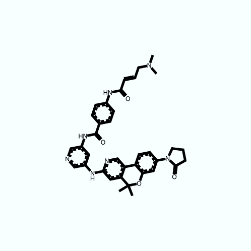 CN(C)CC=CC(=O)Nc1ccc(C(=O)Nc2cncc(Nc3cc4c(cn3)-c3ccc(N5CCCC5=O)cc3OC4(C)C)c2)cc1